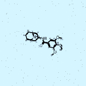 COc1cc(C(=O)NC2CC3CCCC(C2)N3)cc(OC)c1OC